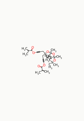 C=C(C)C(=O)OC#CC[Si](C)(CC#COC(=O)C(=C)C)O[Si](C)(C)O[Si](C)(C)O[Si](C)(C)C